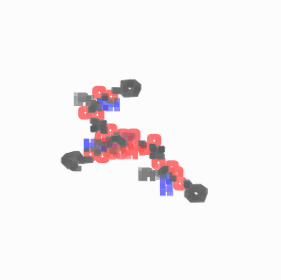 CC(C)[C@@H](NC(=O)OCc1ccccc1)C(=O)OCC(C)(C)C(=O)OCOP(=O)(OCOC(=O)C(C)(C)COC(=O)[C@H](NC(=O)OCc1ccccc1)C(C)C)C(O)(CCCNC(=O)OCc1ccccc1)P(=O)(O)O